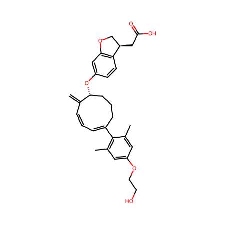 C=C1/C=C\C=C(\c2c(C)cc(OCCO)cc2C)CCC[C@H]1Oc1ccc2c(c1)OC[C@H]2CC(=O)O